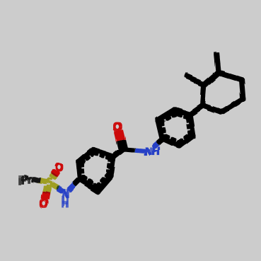 CC1CCCC(c2ccc(NC(=O)c3ccc(NS(=O)(=O)C(C)C)cc3)cc2)C1C